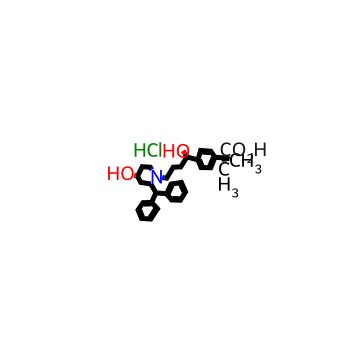 CC(C)(C(=O)O)c1ccc(C(O)CCCN2CCC(O)CC2C(c2ccccc2)c2ccccc2)cc1.Cl